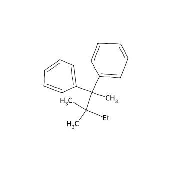 CCC(C)(C)C(C)(c1ccccc1)c1ccccc1